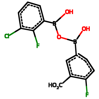 O=C(O)c1cc(B(O)OB(O)c2cccc(Cl)c2F)ccc1F